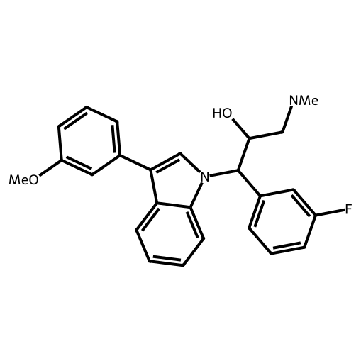 CNCC(O)C(c1cccc(F)c1)n1cc(-c2cccc(OC)c2)c2ccccc21